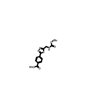 COC(=O)c1ccc(-c2nnc(CNC(=O)OC(C)(C)C)s2)cc1